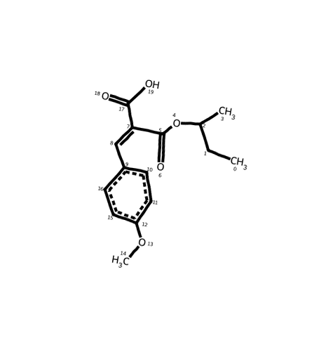 CCC(C)OC(=O)C(=Cc1ccc(OC)cc1)C(=O)O